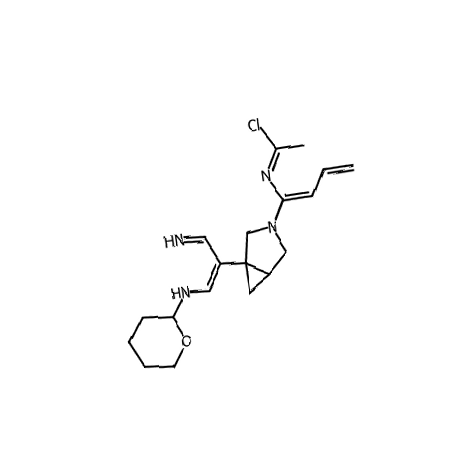 C=C/C=C(\N=C(/C)Cl)N1CC2CC2(/C(C=N)=C/NC2CCCCO2)C1